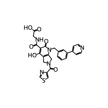 O=C(O)CNC(=O)c1c(O)c2c(n(Cc3cccc(-c4ccncc4)c3)c1=O)CN(C(=O)c1cscn1)C2